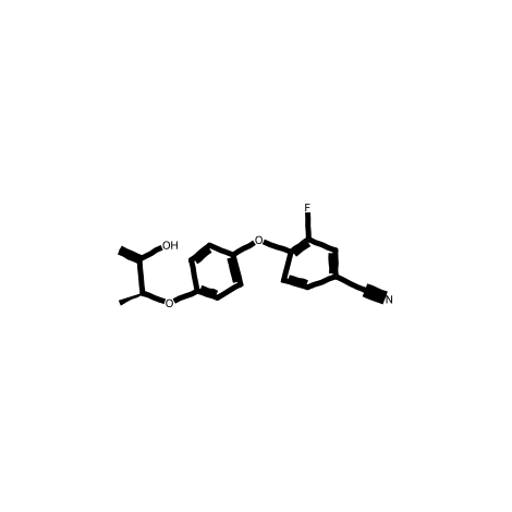 C=C(O)[C@H](C)Oc1ccc(Oc2ccc(C#N)cc2F)cc1